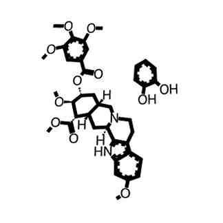 COC(=O)[C@H]1[C@H]2C[C@@H]3c4[nH]c5cc(OC)ccc5c4CCN3C[C@H]2C[C@@H](OC(=O)c2cc(OC)c(OC)c(OC)c2)[C@@H]1OC.Oc1ccccc1O